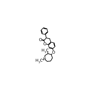 CC1CN(C)CCCC1Oc1ccc2c(c1)OC(=O)C(c1ccccc1)C2